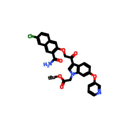 CC(C)(C)OC(=O)Cn1cc(C(=O)COc2cc3ccc(Cl)cc3cc2C(N)=O)c2ccc(Oc3cccnc3)cc21